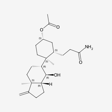 C=C1CC[C@H]2[C@H](O)[C@@H]([C@@]3(C)CC[C@H](OC(C)=O)C[C@@H]3CCC(N)=O)CC[C@]12C